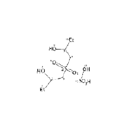 CCC(O)CS(=O)(=O)CC(O)CC.O=S(=O)(O)O